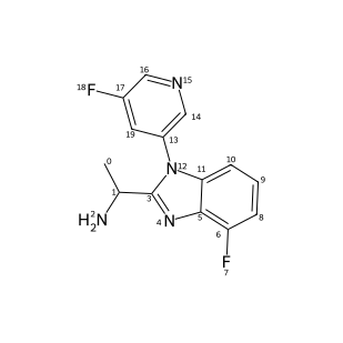 CC(N)c1nc2c(F)cccc2n1-c1cncc(F)c1